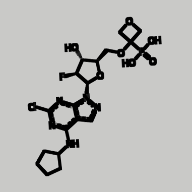 O=P(O)(O)C1(OC[C@H]2O[C@@H](n3ncc4c(NC5CCCC5)nc(Cl)nc43)[C@@H](F)[C@@H]2O)COC1